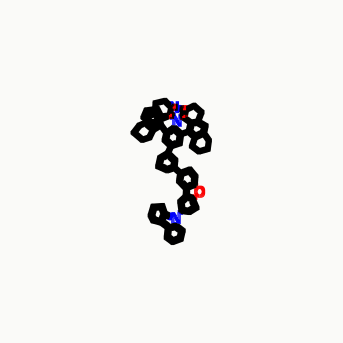 c1ccc(-c2nccn2-c2c(-c3c4c(cc5c3CCCC5)CCCC4)cc(-c3cccc(-c4ccc5oc6ccc(-n7c8ccccc8c8ccccc87)cc6c5c4)c3)cc2-c2c3c(cc4c2CCCC4)CCCC3)cc1